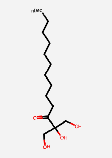 CCCCCCCCCCCCCCCCCCCC(=O)C(O)(CO)CO